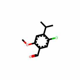 COc1cc(C(C)C)c(Cl)cc1C=O